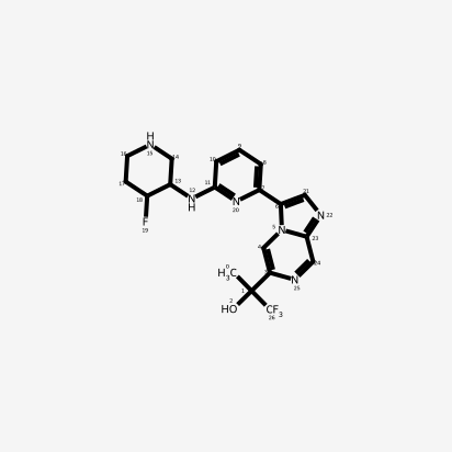 CC(O)(c1cn2c(-c3cccc(NC4CNCCC4F)n3)cnc2cn1)C(F)(F)F